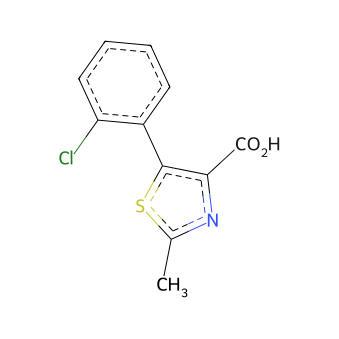 Cc1nc(C(=O)O)c(-c2ccccc2Cl)s1